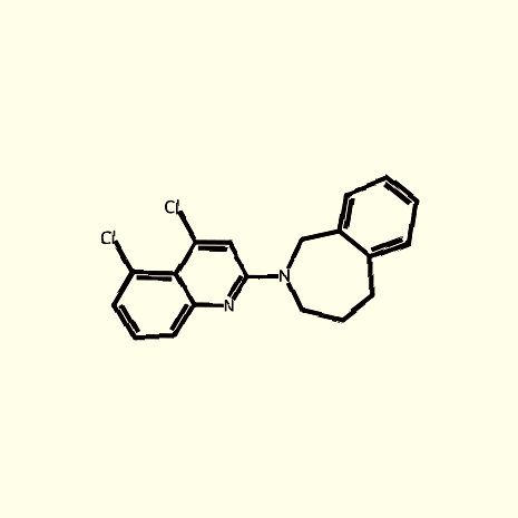 Clc1cccc2nc(N3CCCc4ccccc4C3)cc(Cl)c12